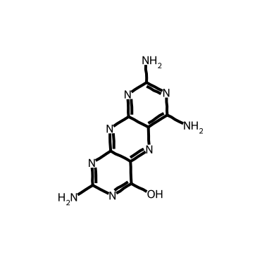 Nc1nc(N)c2nc3c(O)nc(N)nc3nc2n1